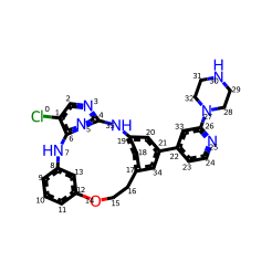 Clc1cnc2nc1Nc1cccc(c1)OCCc1cc(cc(-c3ccnc(N4CCNCC4)c3)c1)N2